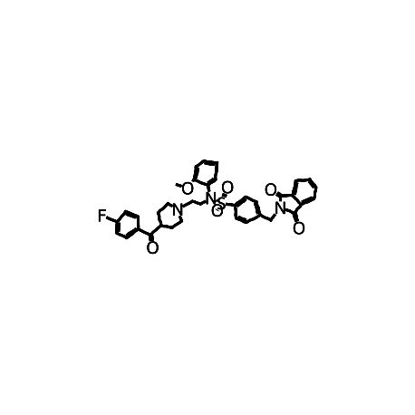 COc1ccccc1N(CCN1CCC(C(=O)c2ccc(F)cc2)CC1)S(=O)(=O)c1ccc(CN2C(=O)c3ccccc3C2=O)cc1